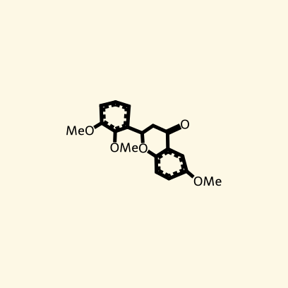 COc1ccc2c(c1)C(=O)CC(c1cccc(OC)c1OC)O2